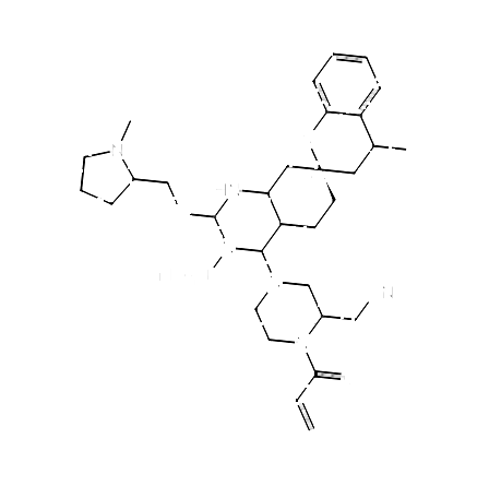 C=CC(=O)N1CCN(C2C3CC[C@@]4(CC(C)c5ccccc5S4)CC3NC(OCC3CCCN3C)N2CCCCCCC)CC1CC#N